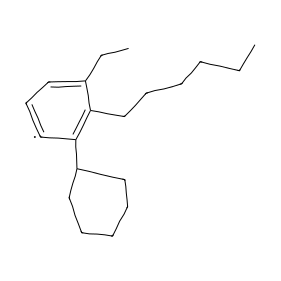 CCCCCCc1c(C2CCCCC2)[c]ccc1CC